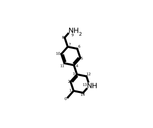 CC1C=C(C2=CCC(CN)C=C2)CNC1